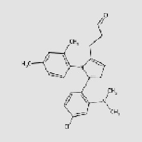 Cc1ccc(-n2c(CCC=O)ccc2-c2ccc(Cl)cc2N(C)C)c(C)c1